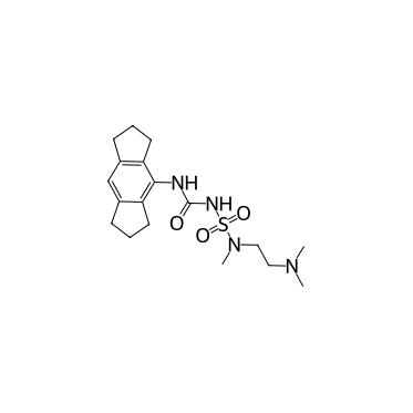 CN(C)CCN(C)S(=O)(=O)NC(=O)Nc1c2c(cc3c1CCC3)CCC2